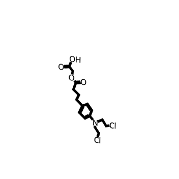 O=C(O)COC(=O)CCCc1ccc(N(CCCl)CCCl)cc1